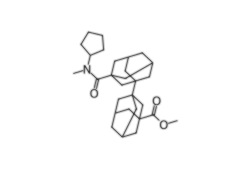 COC(=O)C12CC3CC(C1)CC(C14CC5CC(CC(C(=O)N(C)C6CCCC6)(C5)C1)C4)(C3)C2